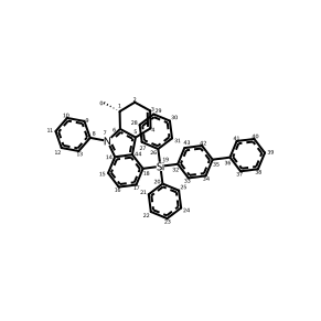 C[C@@H]1CC=Cc2c1n(-c1ccccc1)c1cccc([Si](c3ccccc3)(c3ccccc3)c3ccc(-c4ccccc4)cc3)c21